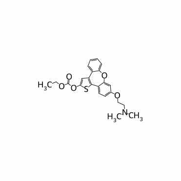 CCOC(=O)Oc1cc2c(s1)-c1ccc(OCCN(C)C)cc1Oc1ccccc1-2